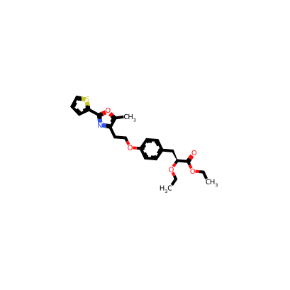 CCOC(=O)[C@H](Cc1ccc(OCCc2nc(-c3cccs3)oc2C)cc1)OCC